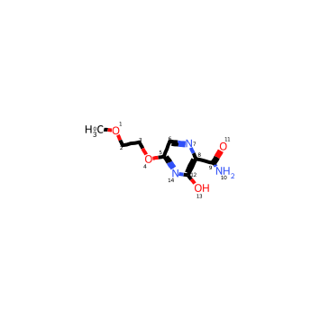 COCCOc1cnc(C(N)=O)c(O)n1